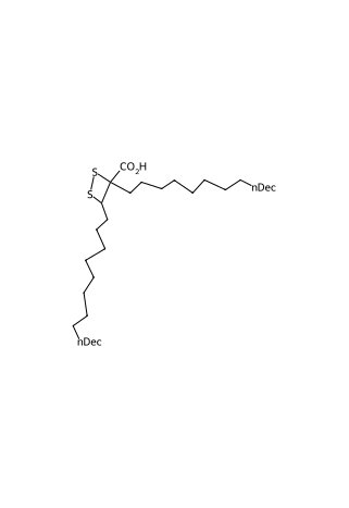 CCCCCCCCCCCCCCCCCCC1SSC1(CCCCCCCCCCCCCCCCCC)C(=O)O